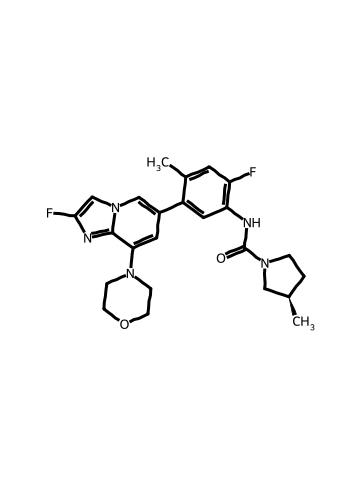 Cc1cc(F)c(NC(=O)N2CC[C@@H](C)C2)cc1-c1cc(N2CCOCC2)c2nc(F)cn2c1